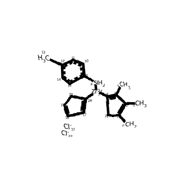 CC1=C(C)C(C)=[C]([Zr+2]([SiH2]c2ccc(C)cc2)[C]2=CC=CC2)C1.[Cl-].[Cl-]